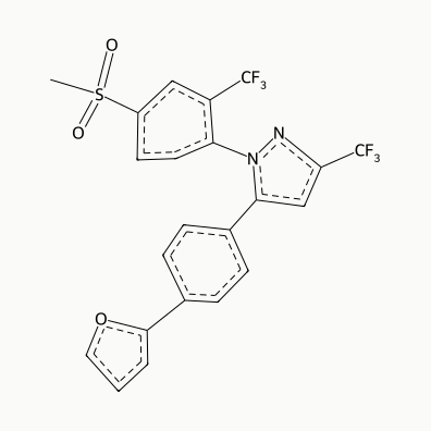 CS(=O)(=O)c1ccc(-n2nc(C(F)(F)F)cc2-c2ccc(-c3ccco3)cc2)c(C(F)(F)F)c1